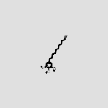 COc1cc(CCCCCCCCCCBr)cc(OC)c1OC